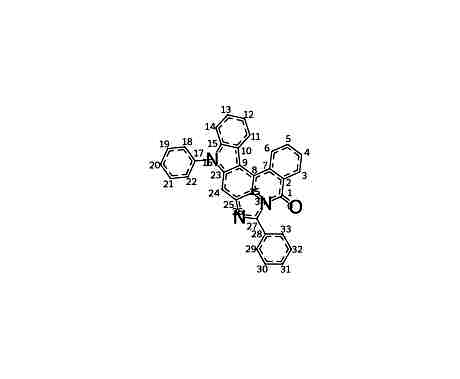 O=c1c2ccccc2c2c3c4ccccc4n(-c4ccccc4)c3cc3nc(-c4ccccc4)n1c32